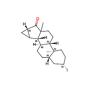 CC12CC[C@H]3[C@@H](CC[C@H]4C[C@@H](I)CC[C@@]43C)[C@@H]1C1C[C@@H]1C2=O